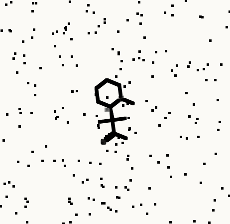 CC(=O)C(C)(C)[C@H]1CCCCN1C